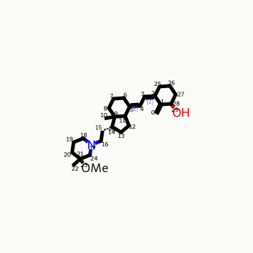 C=C1/C(=C\C=C2/CCCC3(C)C2CC[C@@H]3CCN2CCCC(C)(OC)C2)CCCC1O